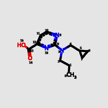 CCCN(CC1CC1)c1nccc(C(=O)O)n1